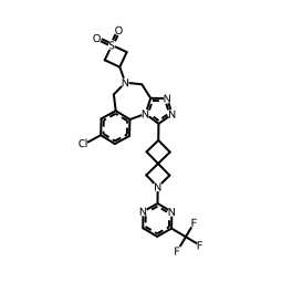 O=S1(=O)CC(N2Cc3cc(Cl)ccc3-n3c(nnc3C3CC4(C3)CN(c3nccc(C(F)(F)F)n3)C4)C2)C1